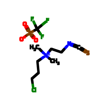 C[N+](C)(CCCCl)CCN=C=S.O=S(=O)([O-])C(F)(F)F